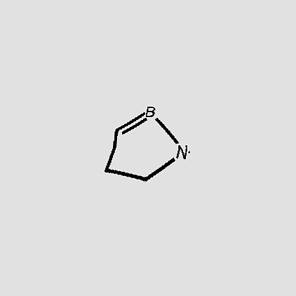 B1=CCC[N]1